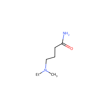 CCN(C)CCCC(N)=O